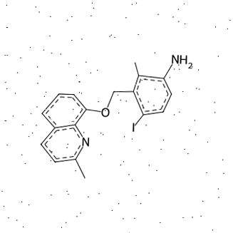 Cc1ccc2cccc(OCc3c(I)ccc(N)c3C)c2n1